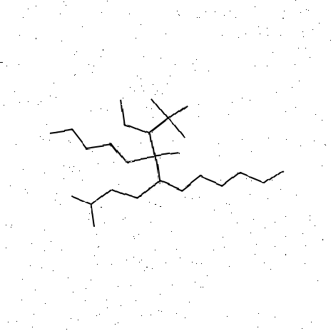 CCCCCC[C](CCC(C)C)C(C)(CCCCC)C(CC)C(C)(C)C